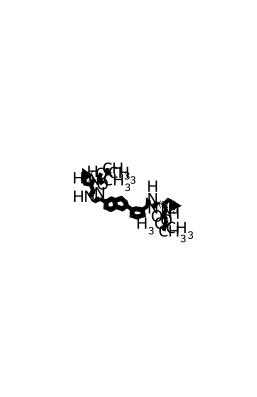 CC(C)(C)OC(=O)N1C(c2nc(-c3ccc4cc(-c5cccc(-c6c[nH]c([C@@H]7CC8C[C@H]8N7C(=O)OC(C)(C)C)n6)c5)ccc4c3)c[nH]2)C[C@H]2C[C@H]21